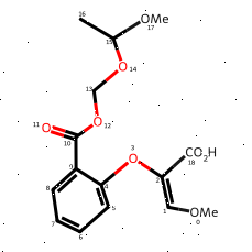 COC=C(Oc1ccccc1C(=O)OCOC(C)OC)C(=O)O